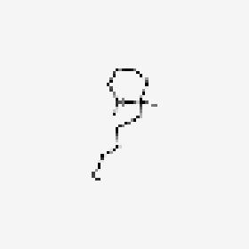 CN1CCCCC1(C)CCCCO